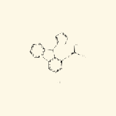 C[C](C)=[Hf+2][c]1cccc2c1C(C1=CC=CC1)c1ccccc1-2.[Cl-].[Cl-]